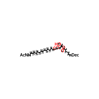 CCCCCCCCCCCCCCC(=O)O[C@H](CO)COCOCCCCCCCCCCCCCCNC(C)=O